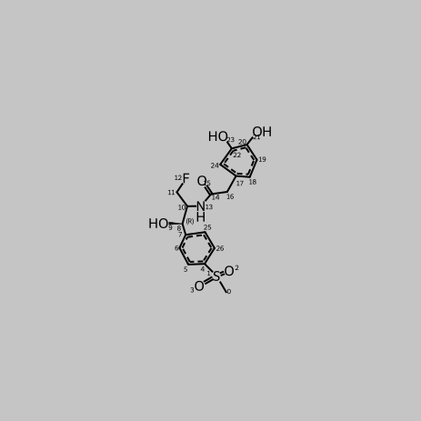 CS(=O)(=O)c1ccc([C@@H](O)C(CF)NC(=O)Cc2ccc(O)c(O)c2)cc1